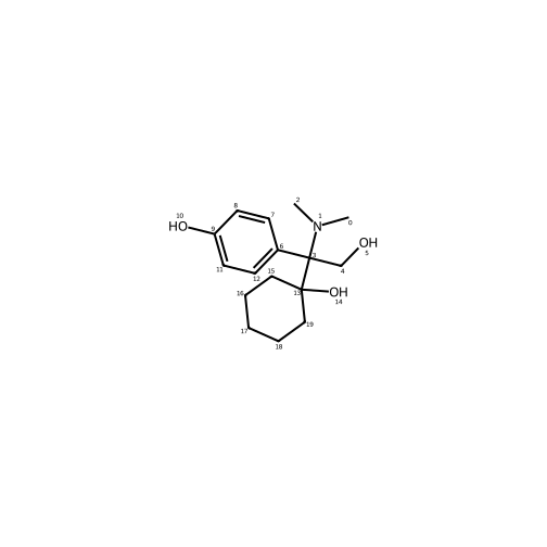 CN(C)C(CO)(c1ccc(O)cc1)C1(O)CCCCC1